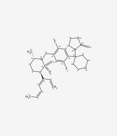 C=C/C(=C\C=C/C)[C@H]1CC[C@H](C)N(Cc2cc(F)c(C3(N4CCOC4=O)CCOCC3)cc2F)S1(=O)=O